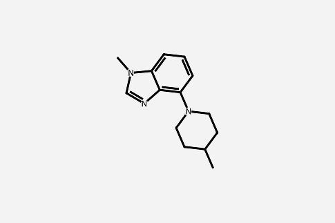 CC1CCN(c2cccc3c2ncn3C)CC1